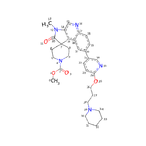 COC(=O)N1CCC2(CC1)C(=O)N(C)c1cnc3ccc(-c4ccc(OCCCN5CCCCC5)nc4)cc3c12